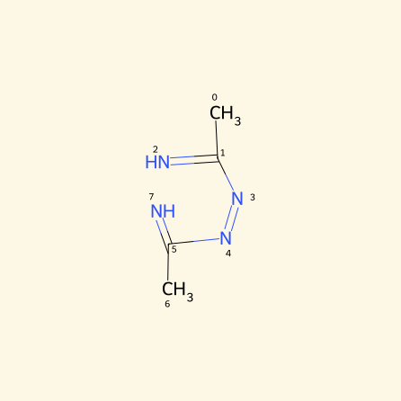 CC(=N)/N=N\C(C)=N